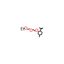 C=C(C)C1CCC(C)CC1OCCOCCOCC